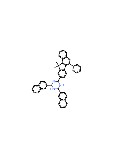 CC1(C)c2cc(C3=NC(c4ccc5ccccc5c4)NC(c4ccc5ccccc5c4)N3)ccc2-c2c(-c3ccccc3)cc3ccccc3c21